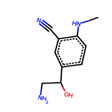 CNc1ccc(C(O)CN)cc1C#N